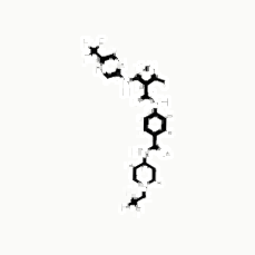 Cc1nsc(Nc2cnc(C(F)(F)F)cn2)c1C(=O)Nc1ccc(C(=O)NC2CCN(CC(F)(F)F)CC2)cc1